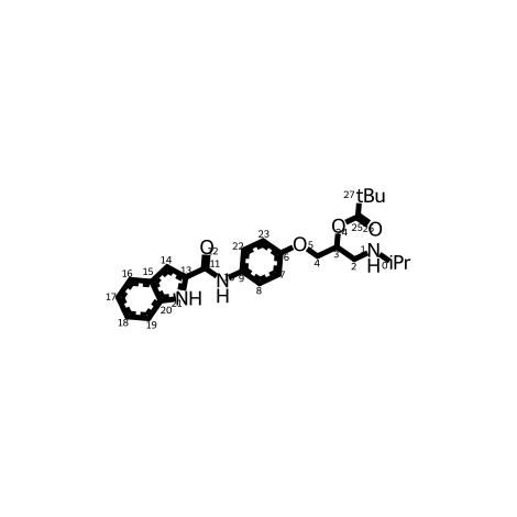 CC(C)NCC(COc1ccc(NC(=O)c2cc3ccccc3[nH]2)cc1)OC(=O)C(C)(C)C